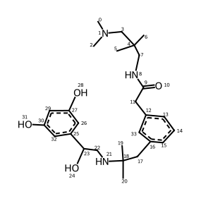 CN(C)CC(C)(C)CNC(=O)Cc1cccc(CC(C)(C)NCC(O)c2cc(O)cc(O)c2)c1